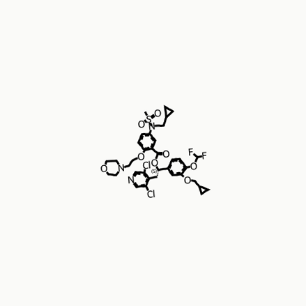 CS(=O)(=O)N(CC1CC1)c1ccc(OCCN2CCOCC2)c(C(=O)O[C@@H](Cc2c(Cl)cncc2Cl)c2ccc(OC(F)F)c(OCC3CC3)c2)c1